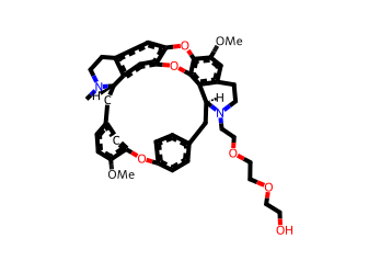 COc1ccc2cc1Oc1ccc(cc1)C[C@H]1c3c(cc(OC)c4c3Oc3cc5c(cc3O4)CCN(C)[C@H]5C2)CCN1CCOCCOCCO